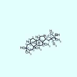 CC(C)(C[C@@H]1CC[C@@H]2[C@H]3CC[C@@H]4C[C@@](C)(O)CC[C@@]4(C)[C@@H]3CC[C@@]12C)[Si](C)(C)O